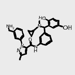 Cc1cc(C(=O)Nc2cccc(C(c3cc(O)ccc3O)N(C)C3CC3)c2)n(-c2cccc(CN)c2)n1